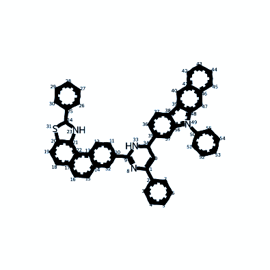 C1=C(c2ccccc2)N=C(c2ccc3c(ccc4ccc5c(c43)NC(c3ccccc3)S5)c2)NC1c1ccc2c3cc4ccccc4cc3n(-c3ccccc3)c2c1